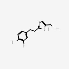 N#Cc1ccc(CCc2ncc(CO)[nH]2)cc1F